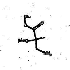 COC(C)(CN)C(=O)OC(C)(C)C